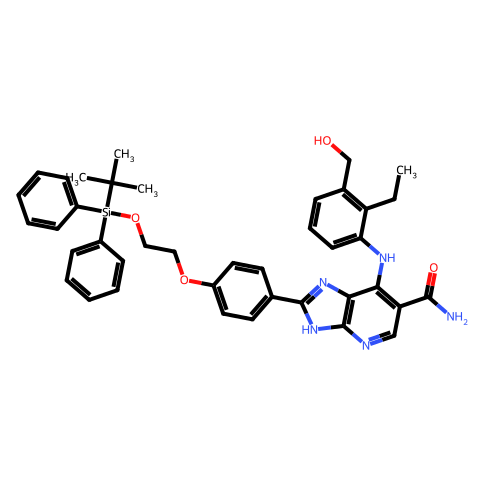 CCc1c(CO)cccc1Nc1c(C(N)=O)cnc2[nH]c(-c3ccc(OCCO[Si](c4ccccc4)(c4ccccc4)C(C)(C)C)cc3)nc12